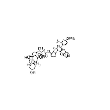 COc1ccc(-c2nc3sc4c(OC(=O)CC[C@@H](C)C5CC[C@H]6[C@@H]7[C@H](O)C[C@@H]8C[C@H](O)CC[C@]8(C)[C@H]7C[C@H](O)[C@]56C)cccc4c3c(=O)n2Cc2cnco2)c(C2CC2)c1